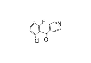 O=C(c1ccncc1)c1c(F)[c]ccc1Cl